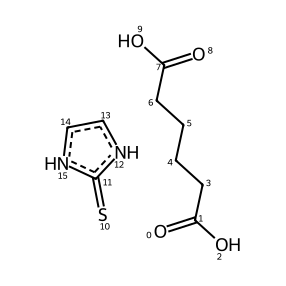 O=C(O)CCCCC(=O)O.S=c1[nH]cc[nH]1